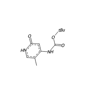 Cc1c[nH]c(=O)cc1NC(=O)OC(C)(C)C